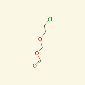 O=COCOCCCl